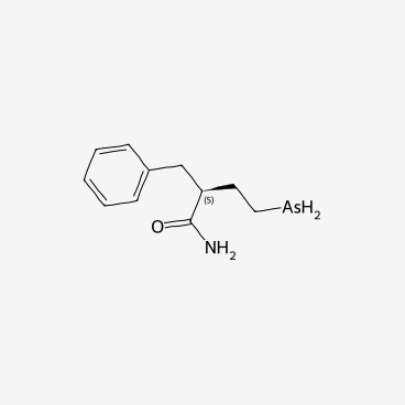 NC(=O)[C@H](CC[AsH2])Cc1ccccc1